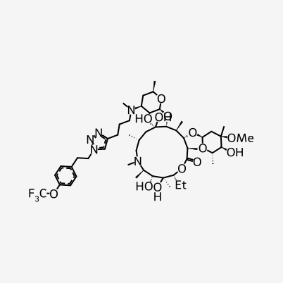 CC[C@H]1OC(=O)[C@H](C)[C@@H](O[C@H]2C[C@@](C)(OC)[C@@H](O)[C@H](C)O2)[C@H](C)[C@@H](O[C@@H]2O[C@H](C)C[C@H](N(C)CCCc3cn(CCc4ccc(OC(F)(F)F)cc4)nn3)[C@H]2O)[C@](C)(O)C[C@@H](C)CN(C)[C@H](C)[C@@H](O)[C@]1(C)O